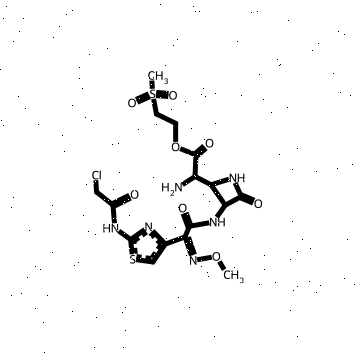 CO/N=C(\C(=O)NC1C(=O)NC1C(N)C(=O)OCCS(C)(=O)=O)c1csc(NC(=O)CCl)n1